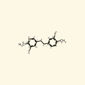 Cc1ccc(CCc2cnc(C)c(F)c2)cc1F